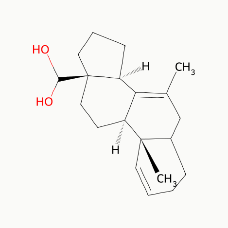 CC1=C2[C@@H]3CCC[C@@]3(C(O)O)CC[C@@H]2[C@@]2(C)C=CCCC2C1